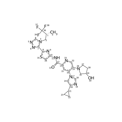 C[C@H](Cn1cnnc1-c1nc(NC(=O)c2cc(-n3cnc(C4CC4)c3)c(N3CCC(O)C3)cn2)cs1)C(F)(F)F